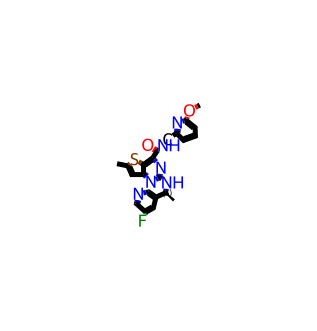 COc1cccc(CNC(=O)c2nc(N[C@@H](C)c3cncc(F)c3)nc3cc(C)sc23)n1